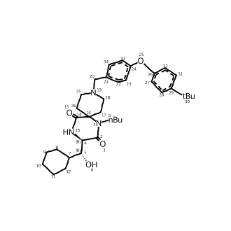 CCCCN1C(=O)[C@@H]([C@H](O)C2CCCCC2)NC(=O)C12CCN(Cc1ccc(Oc3ccc(C(C)(C)C)cc3)cc1)CC2